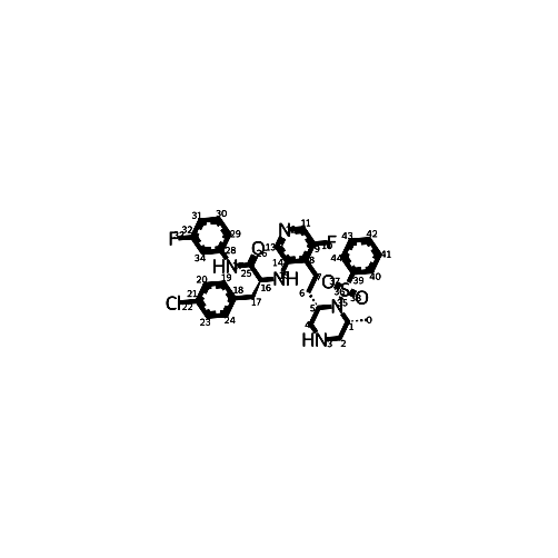 C[C@@H]1CNC[C@H](CCc2c(F)cncc2N[C@@H](Cc2ccc(Cl)cc2)C(=O)Nc2cccc(F)c2)N1S(=O)(=O)c1ccccc1